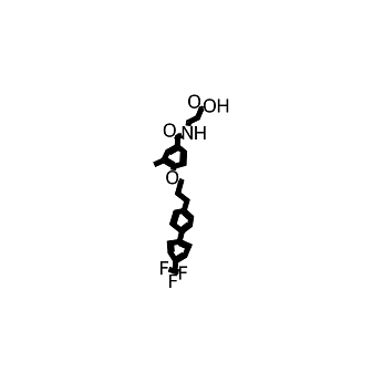 Cc1cc(C(=O)NCCC(=O)O)ccc1OCCCc1ccc(-c2ccc(C(F)(F)F)cc2)cc1